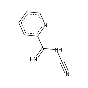 N#CNC(=N)c1ccccn1